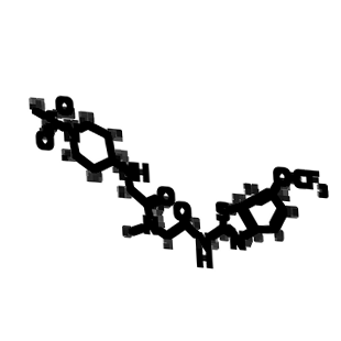 CN(CC(=O)Nc1nc2ccc(OC(F)(F)F)cc2s1)C(=O)CNC1CCN(S(C)(=O)=O)CC1